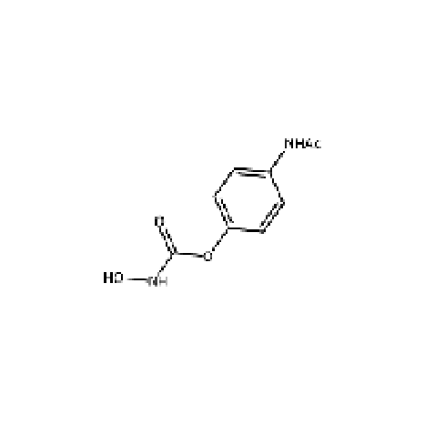 CC(=O)Nc1ccc(OC(=O)NO)cc1